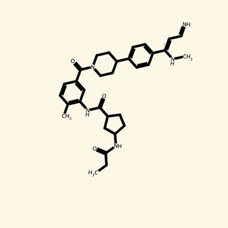 CCC(=O)NC1CCC(C(=O)Nc2cc(C(=O)N3CCC(c4ccc(/C(=C/C=N)NC)cc4)CC3)ccc2C)C1